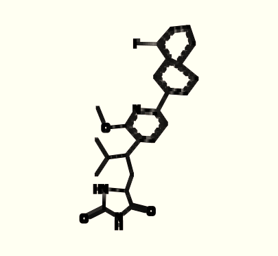 COc1nc(-c2ccc3cccc(F)c3c2)ccc1C(CC1NC(=O)NC1=O)C(C)C